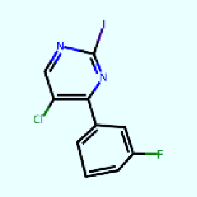 Fc1cccc(-c2nc(I)ncc2Cl)c1